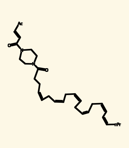 CCC/C=C\C=C/C/C=C\C/C=C\C/C=C\C/C=C\CCC(=O)N1CCN(C(=O)/C=C/C(C)=O)CC1